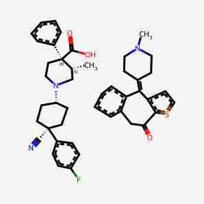 CN1CCC(=C2c3ccccc3CC(=O)c3sccc32)CC1.C[C@@H]1CN([C@H]2CC[C@](C#N)(c3ccc(F)cc3)CC2)CC[C@]1(C(=O)O)c1ccccc1